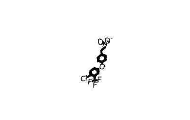 O=[N+]([O-])C=Cc1ccc(Oc2ccc(Cl)c(C(F)(F)F)c2)cc1